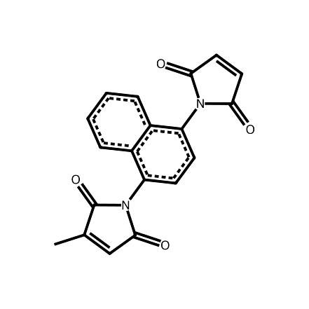 CC1=CC(=O)N(c2ccc(N3C(=O)C=CC3=O)c3ccccc23)C1=O